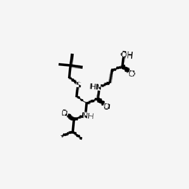 CC(C)C(=O)N[C@@H](CSCC(C)(C)C)C(=O)NCCC(=O)O